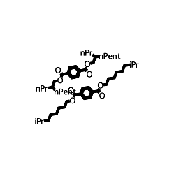 CC(C)CCCCCCOC(=O)c1ccc(C(=O)OCCCCCCC(C)C)cc1.CCCCCC(CCC)COC(=O)c1ccc(C(=O)OCC(CCC)CCCCC)cc1